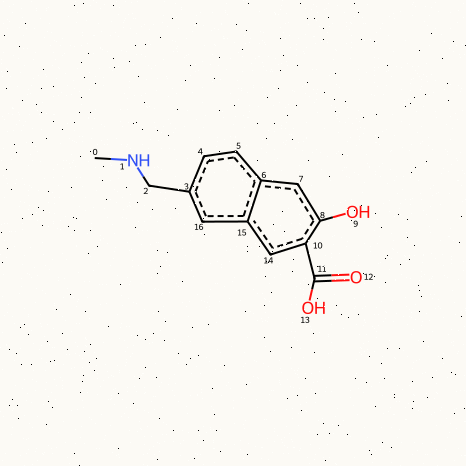 CNCc1ccc2cc(O)c(C(=O)O)cc2c1